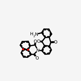 Nc1cccc2c1C(=O)c1c(cccc1N(C(=O)c1ccccc1)C(=O)c1ccccc1)C2=O